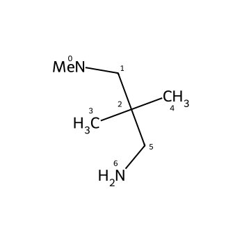 [CH2-][NH2+]CC(C)(C)CN